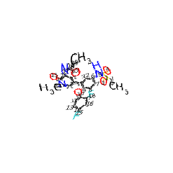 CCS(=O)(=O)Nc1ccc(Oc2ccc(F)cc2F)c(-c2cn(C)c(=O)c3nc(C)oc23)c1